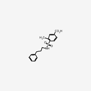 Cc1cc(C(=O)O)ccc1S(=O)(=O)NCCCc1ccccc1